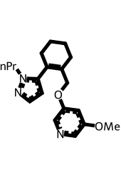 CCCn1nccc1C1=C(COc2cncc(OC)c2)CCCC1